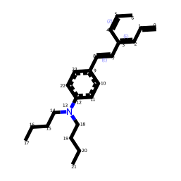 C=C/C=C(\C=C/C)/C=C/c1ccc(N(CCCC)CCCC)cc1